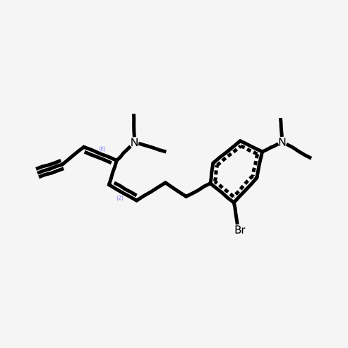 C#C/C=C(\C=C/CCc1ccc(N(C)C)cc1Br)N(C)C